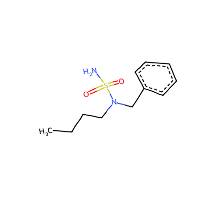 CCCCN(Cc1ccccc1)S(N)(=O)=O